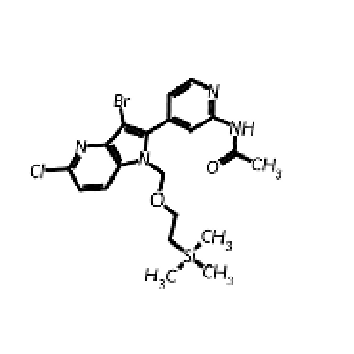 CC(=O)Nc1cc(-c2c(Br)c3nc(Cl)ccc3n2COCC[Si](C)(C)C)ccn1